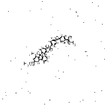 COc1ccc(C(C)(c2ccccc2)c2ccc(OC(=O)c3ccc(Oc4ccc(C(C)=O)cc4)cc3)cc2)cc1